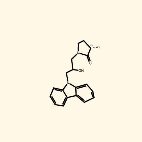 C[C@H]1CCN(CC(O)Cn2c3ccccc3c3ccccc32)C1=O